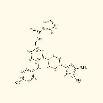 Cc1cc(C2CCC(N3C[C@H](CNC(=O)c4cc[nH]n4)OC[C@@H]3Cc3ccc(Cl)cc3)CC2)nn1C